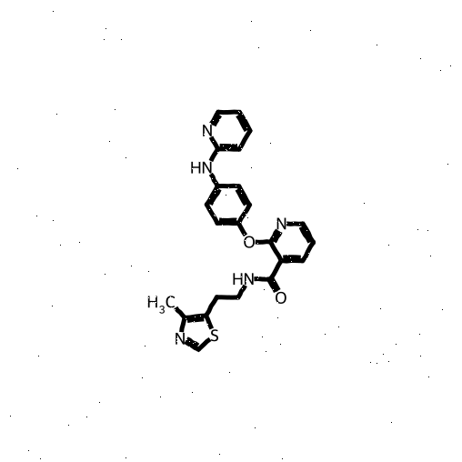 Cc1ncsc1CCNC(=O)c1cccnc1Oc1ccc(Nc2ccccn2)cc1